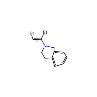 CC/C=C(\CC)N1CCc2ccccc2C1